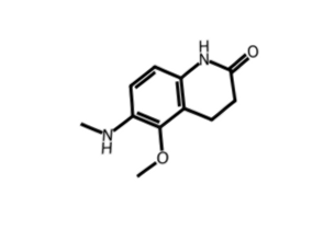 CNc1ccc2c(c1OC)CCC(=O)N2